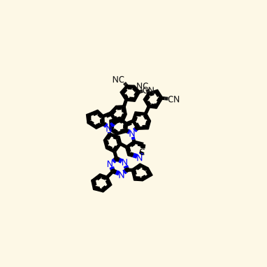 N#Cc1cc(C#N)cc(-c2ccc3c(c2)c2ccccc2n3-c2ccc(-c3nc(-c4ccccc4)nc(-c4ccccc4)n3)c(-c3cnccc3-n3c4ccccc4c4cc(-c5cc(C#N)cc(C#N)c5)ccc43)c2)c1